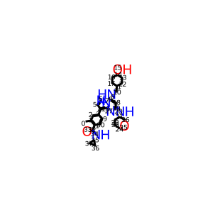 Cc1cc(-c2cnn3c(NCC4CCC(O)CC4)cc(NC4CCCOC4)nc23)ccc1C(=O)NC1CC1